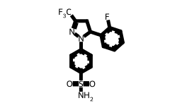 NS(=O)(=O)c1ccc(N2N=C(C(F)(F)F)CC2c2ccccc2F)cc1